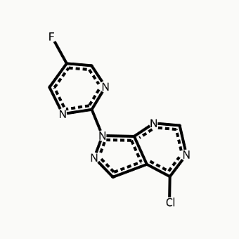 Fc1cnc(-n2ncc3c(Cl)ncnc32)nc1